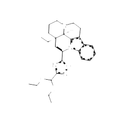 CCOC(OCC)c1noc(C2=C[C@]3(CC)CCCN4CCc5c(n2c2ccccc52)[C@@H]43)n1